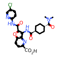 CN(C)C(=O)[C@H]1CC[C@H](C(=O)Nc2c(C(=O)Nc3ccc(Cl)cn3)oc3ccc(C(=O)O)nc23)CC1